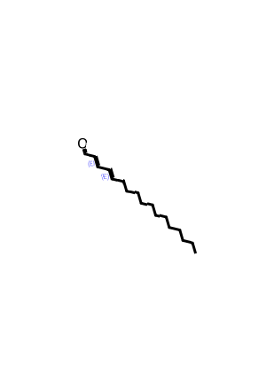 CCCCCCCCCCCC/C=C/C=C/C=O